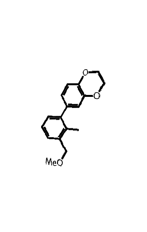 COCc1cccc(-c2ccc3c(c2)OCCO3)c1C